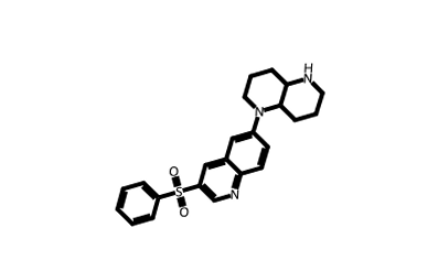 O=S(=O)(c1ccccc1)c1cnc2ccc(N3CCCC4NCCCC43)cc2c1